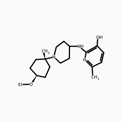 CCO[C@H]1CC[C@](C)(N2CCC(Nc3nc(C)ccc3O)CC2)CC1